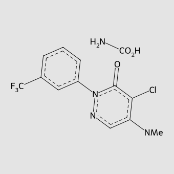 CNc1cnn(-c2cccc(C(F)(F)F)c2)c(=O)c1Cl.NC(=O)O